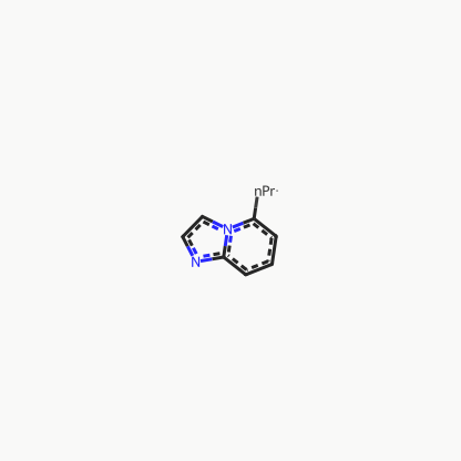 CC[CH]c1cccc2nccn12